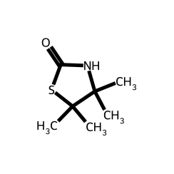 CC1(C)NC(=O)SC1(C)C